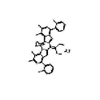 CCCCC1=Cc2c(-c3ccccc3C)cc(C)c(C)c2[CH]1[Zr+2]1([CH]2C(CCCC)=Cc3c(-c4ccccc4C)cc(C)c(C)c32)[CH2][CH2]1.[Cl-].[Cl-]